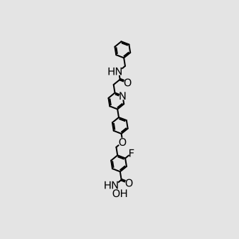 O=C(Cc1ccc(-c2ccc(OCc3ccc(C(=O)NO)cc3F)cc2)cn1)NCc1ccccc1